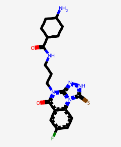 NC1CCC(C(=O)NCCCn2c(=O)c3cc(F)ccc3n3c(=S)[nH]nc23)CC1